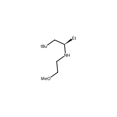 CC[C@H](CC(C)(C)C)NCCOC